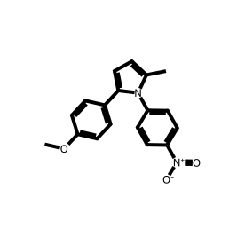 COc1ccc(-c2ccc(C)n2-c2ccc([N+](=O)[O-])cc2)cc1